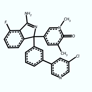 Cc1cc(C2(c3cccc(-c4cncc(Cl)c4)c3)N=C(N)c3c(F)cccc32)cn(C)c1=O